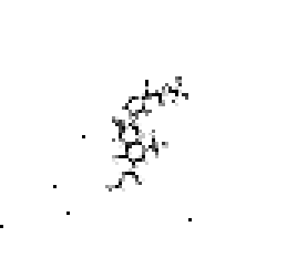 CCOC(=O)c1cn(C(C)(C)C)c2nc(N3CCC(NC(=O)OC(C)(C)C)C3)c(F)cc2c1=O